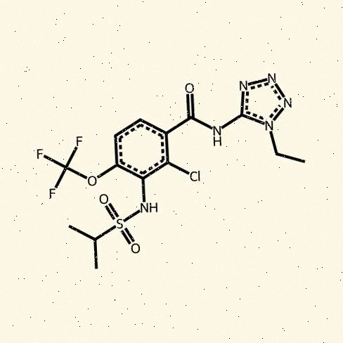 CCn1nnnc1NC(=O)c1ccc(OC(F)(F)F)c(NS(=O)(=O)C(C)C)c1Cl